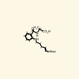 CCCCCCCCC/C=C/CCCNc1ccccc1C(=O)NC(C)C(=O)O